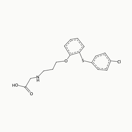 O=C(O)CNCCCOc1ccccc1Sc1ccc(Cl)cc1